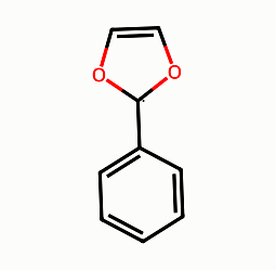 C1=CO[C](c2ccccc2)O1